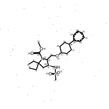 CCC1(CC)C[C@H](NS(C)(=O)=O)C(COC2CCC(c3ccccc3)CC2)N1C(=O)OC